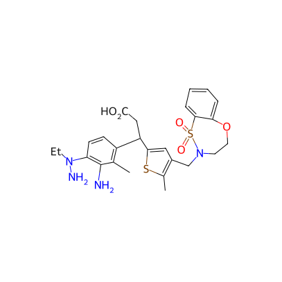 CCN(N)c1ccc(C(CC(=O)O)c2cc(CN3CCOc4ccccc4S3(=O)=O)c(C)s2)c(C)c1N